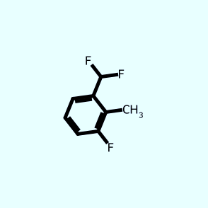 Cc1c(F)cccc1[C](F)F